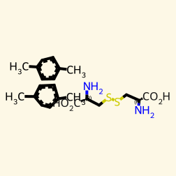 Cc1ccc(C)cc1.Cc1ccc(C)cc1.N[C@@H](CSSC[C@H](N)C(=O)O)C(=O)O